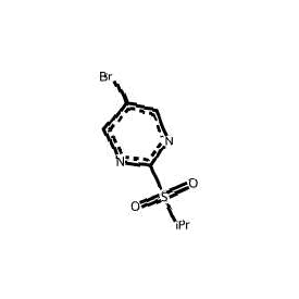 CC(C)S(=O)(=O)c1ncc(Br)cn1